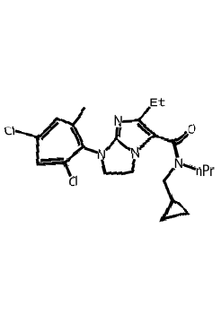 CCCN(CC1CC1)C(=O)c1c(CC)nc2n1CCN2c1c(C)cc(Cl)cc1Cl